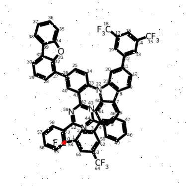 FC(F)(F)c1cc(-c2ccc3c4ccc(-c5cc(C(F)(F)F)cc(C(F)(F)F)c5)cc4n(-c4ccc(-c5cccc6c5oc5ccccc56)cc4-c4nc(-c5ccccc5)nc(-c5ccccc5)n4)c3c2)cc(C(F)(F)F)c1